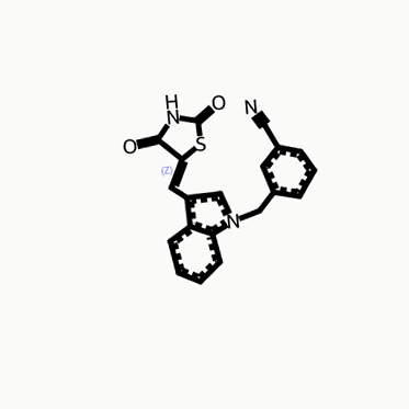 N#Cc1cccc(Cn2cc(/C=C3\SC(=O)NC3=O)c3ccccc32)c1